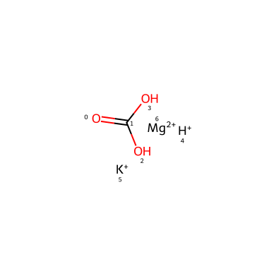 O=C(O)O.[H+].[K+].[Mg+2]